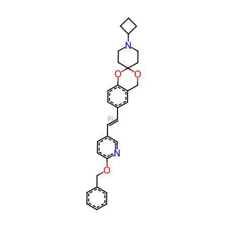 C(=C\c1ccc2c(c1)COC1(CCN(C3CCC3)CC1)O2)/c1ccc(OCc2ccccc2)nc1